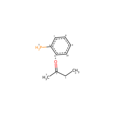 CCC(C)=O.Pc1ccccc1